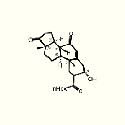 CCCCCCC(=O)C1C[C@@]2(C)C(=CC(=O)[C@@H]3[C@@H]2CC[C@]2(C)C(=O)CC[C@@H]32)C[C@H]1O